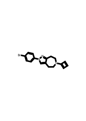 Brc1ccc(-n2cc3c(n2)CCN(C2=CC=C2)CC3)cc1